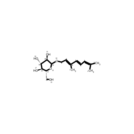 CC(C)=C/C=C/C(C)=C/COC1O[C@H](CO)[C@@H](O)[C@H](O)[C@H]1O